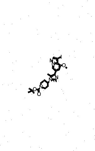 COc1cc(-c2nnn(C3CCN(C(=O)OC(C)(C)C)CC3)c2C)cn2ncc(I)c12